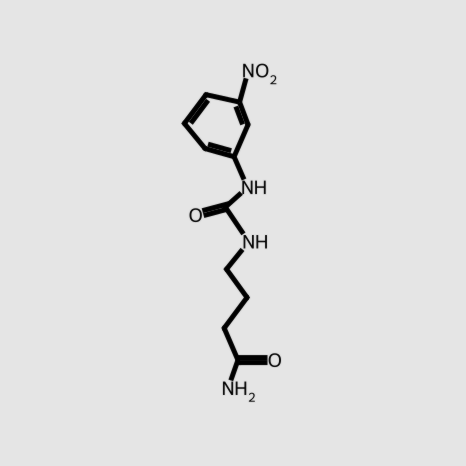 NC(=O)CCCNC(=O)Nc1cccc([N+](=O)[O-])c1